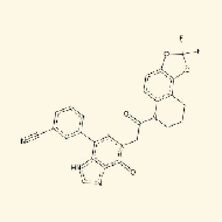 N#Cc1cccc(-c2nn(CC(=O)N3CCCc4c3ccc3c4OC(F)(F)O3)c(=O)c3nc[nH]c23)c1